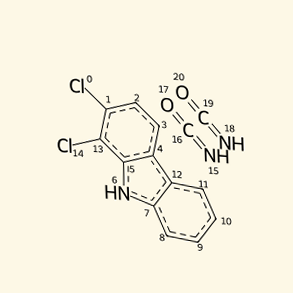 Clc1ccc2c([nH]c3ccccc32)c1Cl.N=C=O.N=C=O